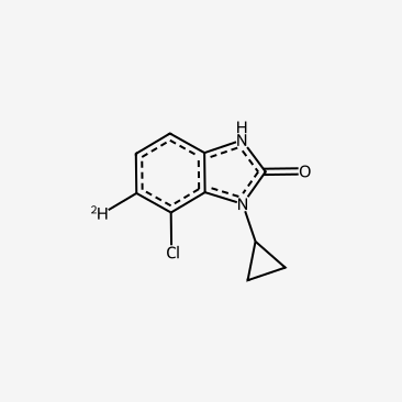 [2H]c1ccc2[nH]c(=O)n(C3CC3)c2c1Cl